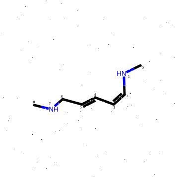 CN/C=C\C=C\CNC